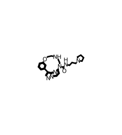 O=C(NCCCN1CCCC1)N1CCNCCOc2cccc(c2)-c2cnn3ccc1nc23